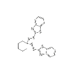 c1ccc2sc(SSC3(SSc4nc5ccccc5s4)CCCCC3)nc2c1